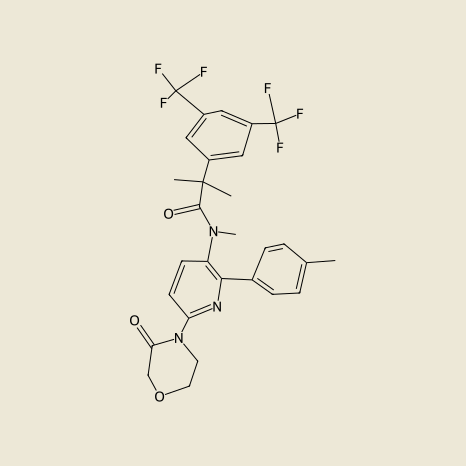 Cc1ccc(-c2nc(N3CCOCC3=O)ccc2N(C)C(=O)C(C)(C)c2cc(C(F)(F)F)cc(C(F)(F)F)c2)cc1